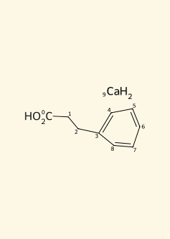 O=C(O)CCc1ccccc1.[CaH2]